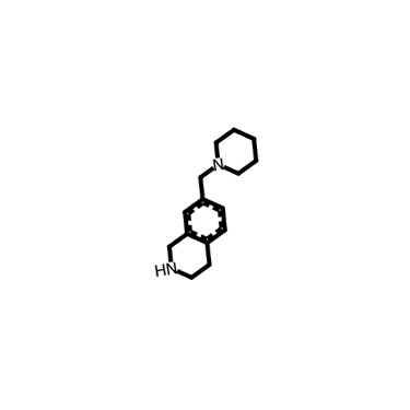 c1cc2c(cc1CN1CCCCC1)CNCC2